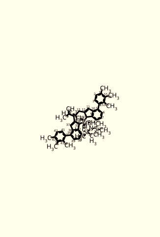 Cc1ccc(-c2cccc3c2C=C(CC(C)C)[CH]3[Zr]([Cl])([Cl])([BH]N([Si](C)(C)C)[Si](C)(C)C)[CH]2C(CC(C)C)=Cc3c(-c4ccc(C)c(C)c4C)cccc32)c(C)c1C